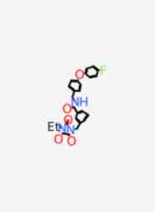 CCN1C(=O)C(=O)N(Cc2cccc(C(=O)NCc3ccc(Oc4ccc(F)cc4)cc3)c2)C1=O